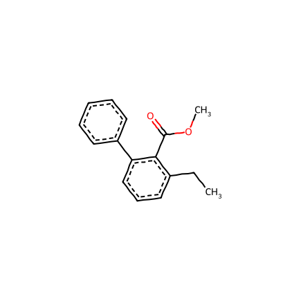 CCc1cccc(-c2ccccc2)c1C(=O)OC